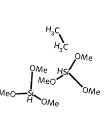 CC.CO[SiH](OC)OC.CO[SiH](OC)OC